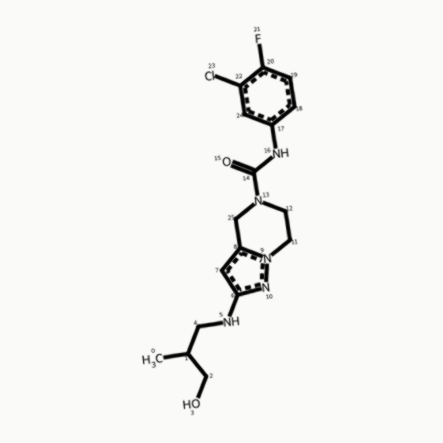 CC(CO)CNc1cc2n(n1)CCN(C(=O)Nc1ccc(F)c(Cl)c1)C2